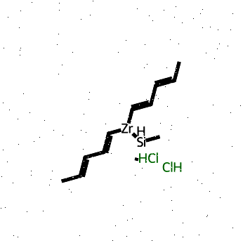 CC=CC=[CH][Zr]([CH]=CC=CC)[SiH](C)C.Cl.Cl